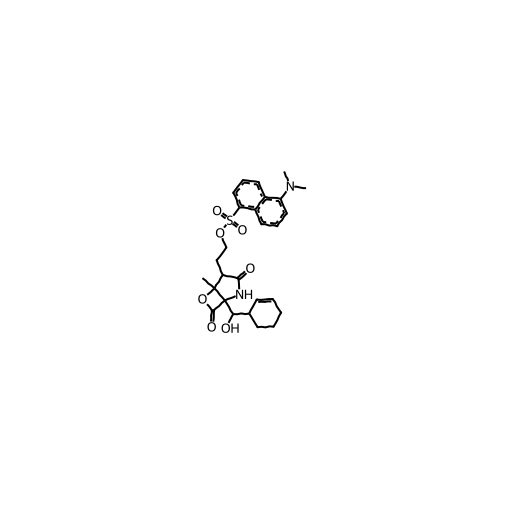 CN(C)c1cccc2c(S(=O)(=O)OCCC3C(=O)NC4(C(O)C5C=CCCC5)C(=O)OC34C)cccc12